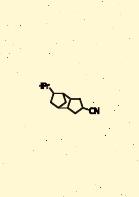 C[C](C)C1CC2CC1C1CC(C#N)CC21